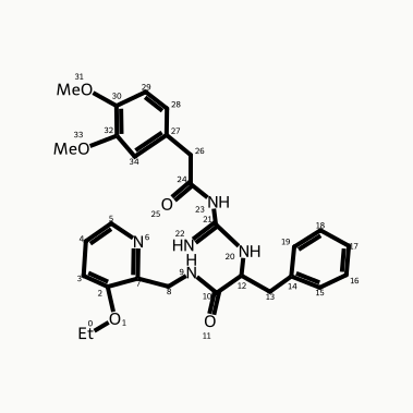 CCOc1cccnc1CNC(=O)C(Cc1ccccc1)NC(=N)NC(=O)Cc1ccc(OC)c(OC)c1